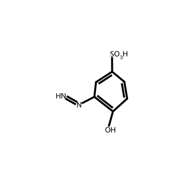 N=Nc1cc(S(=O)(=O)O)ccc1O